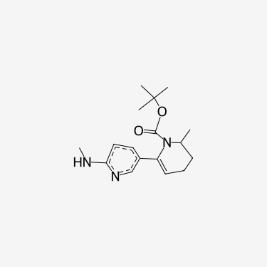 CNc1ccc(C2=CCCC(C)N2C(=O)OC(C)(C)C)cn1